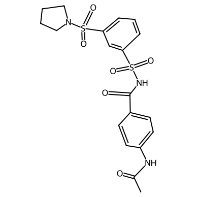 CC(=O)Nc1ccc(C(=O)NS(=O)(=O)c2cccc(S(=O)(=O)N3CCCC3)c2)cc1